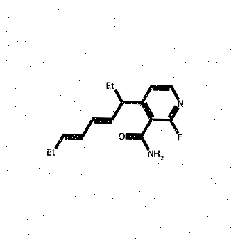 CC/C=C/C=C/C(CC)c1ccnc(F)c1C(N)=O